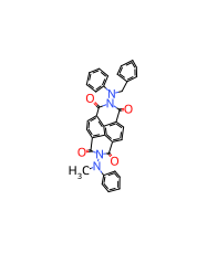 CN(c1ccccc1)N1C(=O)c2ccc3c4c(ccc(c24)C1=O)C(=O)N(N(Cc1ccccc1)c1ccccc1)C3=O